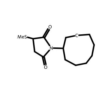 CSC1CC(=O)N(C2CCCCCCCC2)C1=O